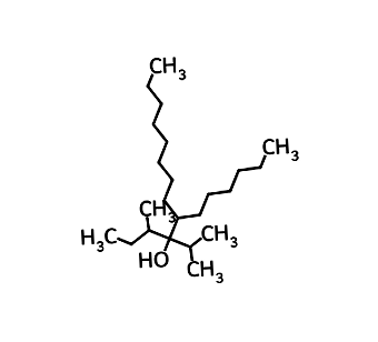 CCCCCCCCC(CCCCCC)C(O)(C(C)C)C(C)CC